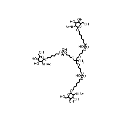 CC(=O)NC1C(O)[C@@H](O)C(CO)O[C@H]1OCCCCCCOP(=O)(O)OCCCOCC(C)(COCCCOP(=O)(O)OCCCCCCO[C@@H]1OC(CO)[C@H](O)C(O)C1NC(C)=O)COCCCOP(=O)(O)OCCCCCCO[C@@H]1OC(CO)[C@H](O)C(O)C1NC(C)=O